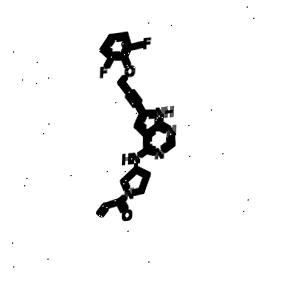 C=CC(=O)N1CC[C@@H](Nc2ncnc3[nH]c(C#CCOc4c(F)cccc4F)cc23)C1